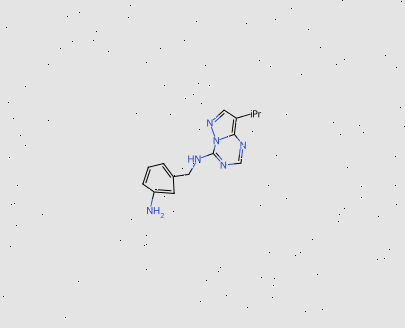 CC(C)c1cnn2c(NCc3cccc(N)c3)ncnc12